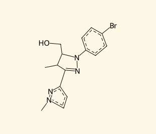 CC1C(c2ccn(C)n2)=NN(c2ccc(Br)cc2)C1CO